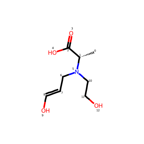 C[C@@H](C(=O)O)N(CC=CO)CCO